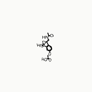 CC(=O)NCC1OB(O)c2cc(OCC(=O)O)ccc21